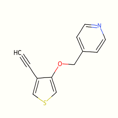 C#Cc1cscc1OCc1ccncc1